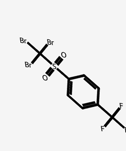 O=S(=O)(c1ccc(C(F)(F)F)cc1)C(Br)(Br)Br